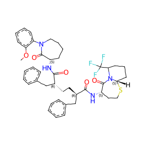 COc1ccccc1N1CCCC[C@H](NC(=O)[C@H](CC[C@H](Cc2ccccc2)C(=O)N[C@H]2CCS[C@H]3CCCC(C(F)(F)F)N3C2=O)Cc2ccccc2)C1=O